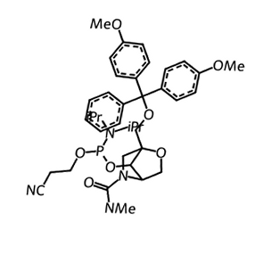 CNC(=O)N1CC2(COC(c3ccccc3)(c3ccc(OC)cc3)c3ccc(OC)cc3)OCC1C2OP(OCCC#N)N(C(C)C)C(C)C